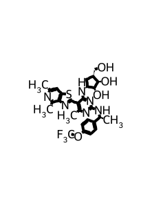 Cc1cc2sc(-c3c(C)nc(N[C@@H](C)c4ccc(OC(F)(F)F)cc4)nc3N[C@@H]3C[C@H](CO)[C@@H](O)[C@H]3O)nc2c(C)n1